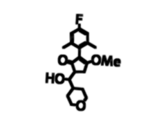 COC1=C(c2c(C)cc(F)cc2C)C(=O)C(C(O)C2CCOCC2)C1